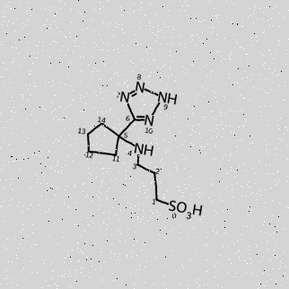 O=S(=O)(O)CCCNC1(c2nn[nH]n2)CCCC1